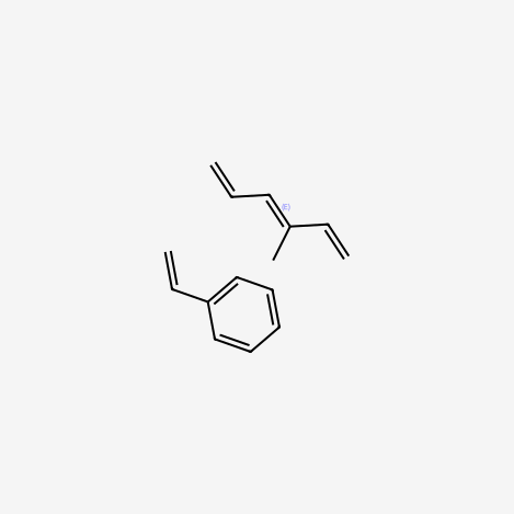 C=C/C=C(\C)C=C.C=Cc1ccccc1